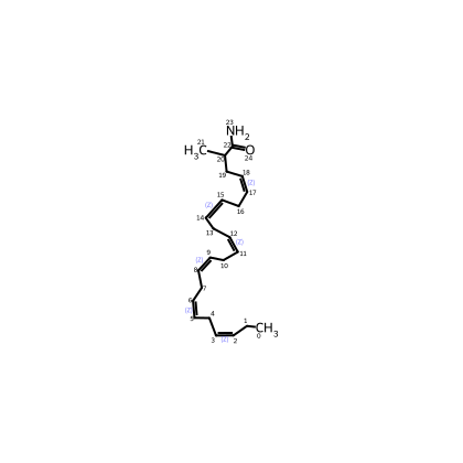 CC/C=C\C/C=C\C/C=C\C/C=C\C/C=C\C/C=C\CC(C)C(N)=O